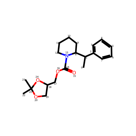 CC(c1ccccc1)C1CCCCN1C(=O)OCC1COC(C)(C)O1